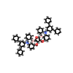 c1ccc(-c2cc(-c3ccccc3)cc(N3c4ccccc4B4c5oc6c(c5Oc5cccc3c54)Oc3cccc4c3B6c3ccccc3N4c3cc(-c4ccccc4)cc(-c4ccccc4)c3)c2)cc1